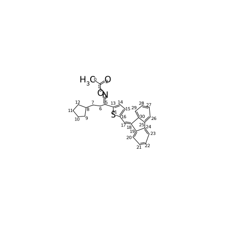 CC(=O)O/N=C(\CCC1CCCC1)c1ccc(C=C2c3ccccc3-c3ccccc32)s1